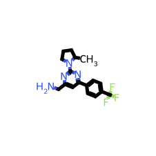 CC1CCCN1c1nc(CN)cc(-c2ccc(C(F)(F)F)cc2)n1